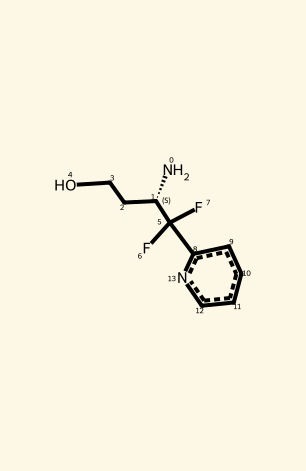 N[C@@H](CCO)C(F)(F)c1ccccn1